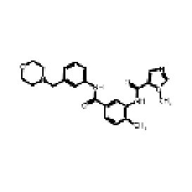 Cc1ccc(C(=O)Nc2cccc(CN3CCOCC3)c2)cc1NC(=O)c1cncn1C